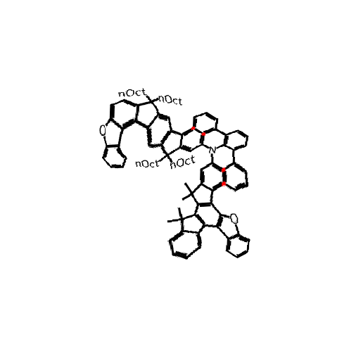 CCCCCCCCC1(CCCCCCCC)c2cc(N(c3ccc4c(c3)C(C)(C)c3c5c(c6c(oc7ccccc76)c3-4)-c3ccccc3C5(C)C)c3c(-c4ccccc4)cccc3-c3ccccc3)ccc2-c2cc3c(cc21)-c1c(ccc2oc4ccccc4c12)C3(CCCCCCCC)CCCCCCCC